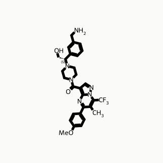 COc1ccc(-c2nc3c(C(=O)N4CCN([C@H](CO)c5cccc(CN)c5)CC4)cnn3c(C(F)(F)F)c2C)cc1